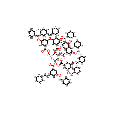 O=C(OC[C@H]1O[C@H](OC(=O)c2cc(OCc3ccccc3)cc(OCc3ccccc3)c2)[C@H](OC(=O)c2cc(OCc3ccccc3)cc(OCc3ccccc3)c2)[C@@H](OC(=O)c2cc(OCc3ccccc3)cc(OCc3ccccc3)c2)[C@@H]1OC(=O)c1cc(OCc2ccccc2)cc(OCc2ccccc2)c1)c1cc(OCc2ccccc2)cc(OCc2ccccc2)c1